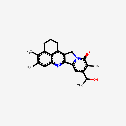 CCCc1c(C(O)C=O)cc2n(c1=O)Cc1c-2nc2cc(C)c(C)c3c2c1CCC3